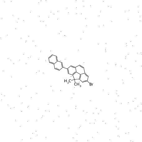 CC1(C)c2cc(Br)cc3ccc4cc(-c5ccc6ccccc6c5)cc1c4c23